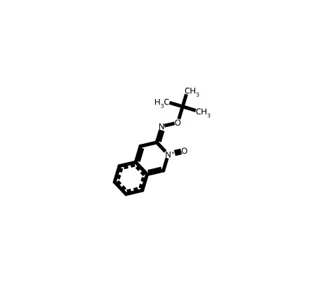 CC(C)(C)ON=C1C=c2ccccc2=C[N+]1=O